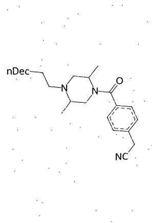 CCCCCCCCCCCCN1CC(C)N(C(=O)c2ccc(CC#N)cc2)CC1C